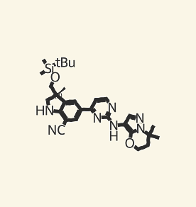 CC1(C)CCOc2c(Nc3nccc(-c4cc(C#N)c5c(c4)[C@@](C)(CO[Si](C)(C)C(C)(C)C)CN5)n3)cnn21